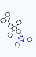 c1ccc(-c2nc(-c3ccccc3)nc(-c3ccc4c(-c5ccccc5)c5cc(-c6cc7ccccc7c7ccccc67)ccc5c(-c5ccccc5)c4c3)n2)cc1